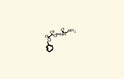 NCC(=O)NCOC(C(=O)OCc1ccccc1)C(F)(F)F